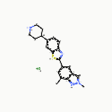 Cc1cc(-c2nc3ccc(C4CCNCC4)cc3s2)cc2cn(C)nc12.Cl